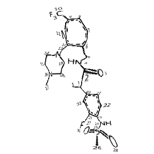 CC(C(=O)NCc1ccc(C(F)(F)F)nc1N1CCN(C)CC1)c1ccc(NS(C)(=O)=O)c(F)c1